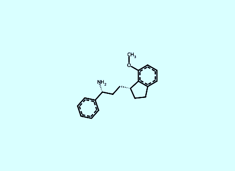 COc1cccc2c1[C@@H](CC[C@@H](N)c1ccccc1)CC2